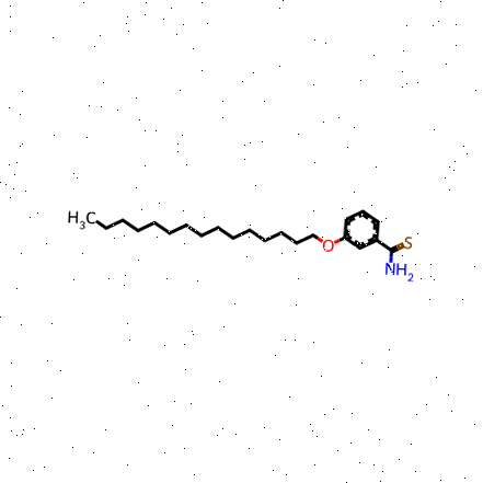 CCCCCCCCCCCCCCCOc1cccc(C(N)=S)c1